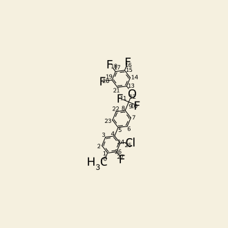 Cc1ccc(-c2ccc(C(F)(F)Oc3cc(F)c(F)c(F)c3)cc2)c(Cl)c1F